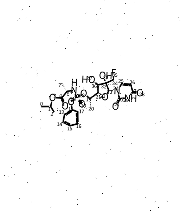 CC(C)OC(=O)[C@H](C)NP(=O)(Oc1ccccc1)O[C@@H](C)[C@H]1O[C@@H](n2ccc(=O)[nH]c2=O)[C@@](O)(CF)C1O